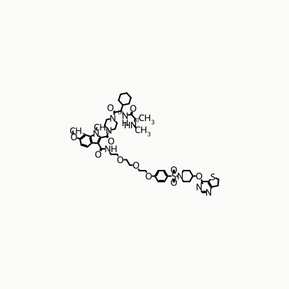 CN[C@@H](C)C(=O)N[C@H](C(=O)N1CCN(C(=O)c2c(C(=O)NCCOCCOCCOc3ccc(S(=O)(=O)N4CCC(Oc5ncnc6c5SCC6)CC4)cc3)c3ccc(OC)cc3n2C)CC1)C1CCCCC1